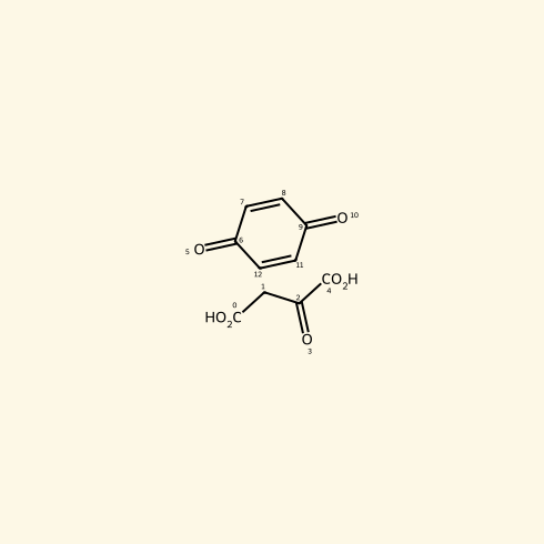 O=C(O)CC(=O)C(=O)O.O=C1C=CC(=O)C=C1